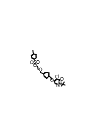 Cc1ccc(S(=O)(=O)OCCOCc2ccc(COc3cnn(C(C)(C)C)c(=O)c3Cl)cc2)cc1